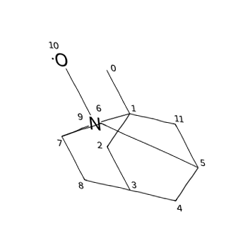 CC12CC3CC(CC(C3)N1[O])C2